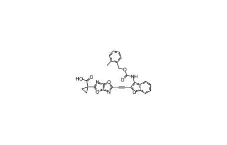 Cc1ccccc1COC(=O)Nc1c(C#Cc2nc3oc(C4(C(=O)O)CC4)nc3o2)oc2ccccc12